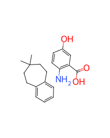 CC1(C)CCc2ccccc2CC1.Nc1ccc(O)cc1C(=O)O